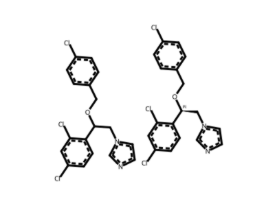 Clc1ccc(COC(Cn2ccnc2)c2ccc(Cl)cc2Cl)cc1.Clc1ccc(CO[C@@H](Cn2ccnc2)c2ccc(Cl)cc2Cl)cc1